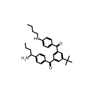 CCCCNc1ccc(C(=O)c2cc(C(=O)c3ccc(C(N)CCC)cc3)cc(C(C)(C)C)c2)cc1